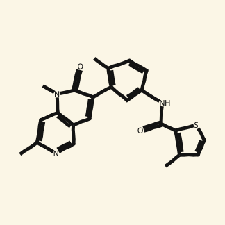 Cc1cc2c(cn1)cc(-c1cc(NC(=O)c3sccc3C)ccc1C)c(=O)n2C